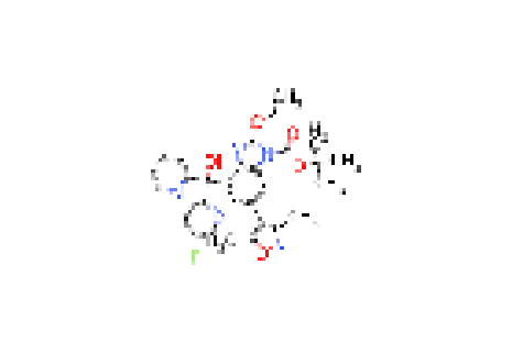 CCOc1nc2c(C(O)(c3ccccn3)c3ccc(F)cn3)cc(-c3c(C)noc3C)cc2n1C(=O)OC(C)(C)C